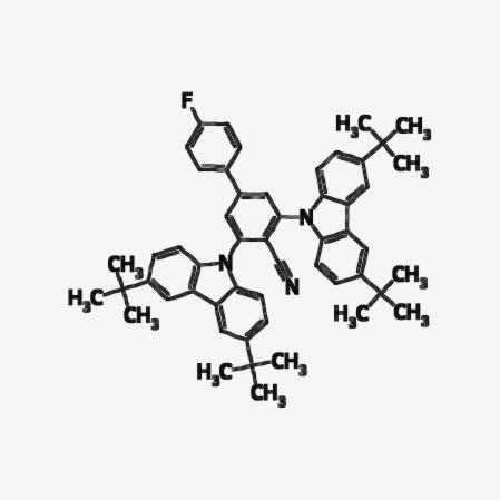 CC(C)(C)c1ccc2c(c1)c1cc(C(C)(C)C)ccc1n2-c1cc(-c2ccc(F)cc2)cc(-n2c3ccc(C(C)(C)C)cc3c3cc(C(C)(C)C)ccc32)c1C#N